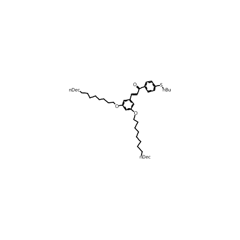 CCCCCCCCCCCCCCCCCCOc1cc(C=CC(=O)c2ccc(SCCCC)cc2)cc(OCCCCCCCCCCCCCCCCCC)c1